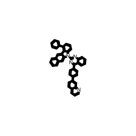 c1ccc(-c2cccc3c2c2cc4ccccc4cc2n3-c2nc(-c3ccc(-c4ccc5cccnc5c4)cc3)c3ccccc3n2)cc1